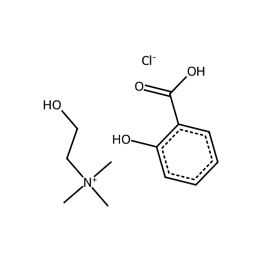 C[N+](C)(C)CCO.O=C(O)c1ccccc1O.[Cl-]